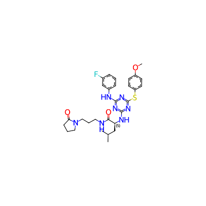 COc1ccc(Sc2nc(Nc3cccc(F)c3)nc(N[C@@H](CC(C)C)C(=O)NCCCN3CCCC3=O)n2)cc1